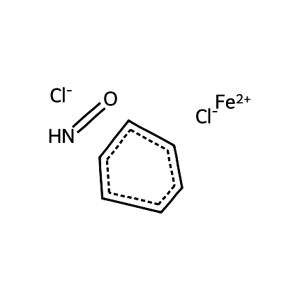 N=O.[Cl-].[Cl-].[Fe+2].c1ccccc1